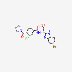 O=C(N[C@@H](CO)c1nc2cc(Br)ccc2[nH]1)c1ccc(C(=O)N2CC=CC2)c(Cl)c1